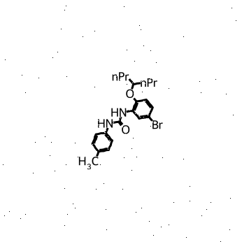 CCCC(CCC)Oc1ccc(Br)cc1NC(=O)Nc1ccc(C)cc1